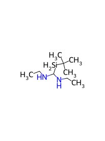 CCNC(NCC)[SiH2]C(C)(C)C